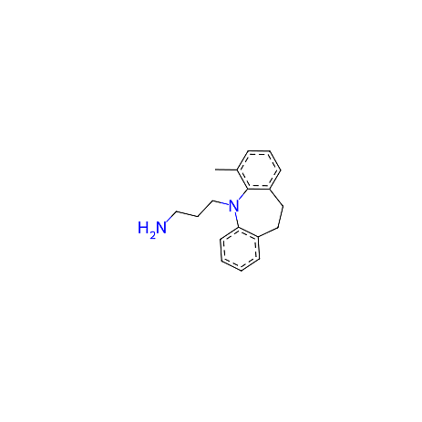 Cc1cccc2c1N(CCCN)c1ccccc1CC2